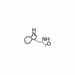 [NH][C@H]([C]=O)Cc1c[nH]c2ccccc12